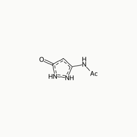 [CH2]C(=O)Nc1cc(=O)[nH][nH]1